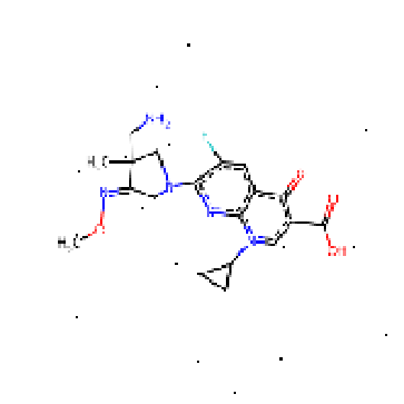 CO/N=C1\CN(c2nc3c(cc2F)c(=O)c(C(=O)O)cn3C2CC2)CC1(C)CN